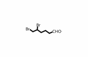 O=[C]CCCC(Br)CBr